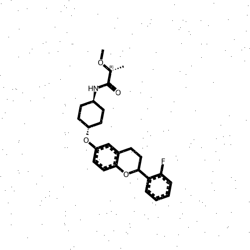 CO[C@H](C)C(=O)N[C@H]1CC[C@H](Oc2ccc3c(c2)CCC(c2ccccc2F)O3)CC1